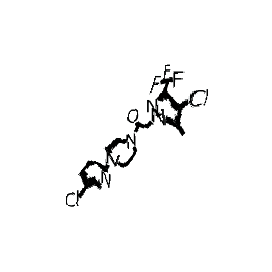 Cc1c(Cl)c(C(F)(F)F)nn1CC(=O)N1CCN(c2ccc(Cl)cn2)CC1